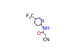 N#CCC(=O)Nc1ccc(C(F)(F)F)cn1